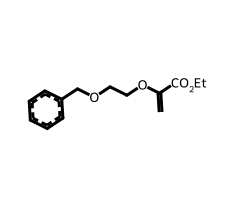 C=C(OCCOCc1ccccc1)C(=O)OCC